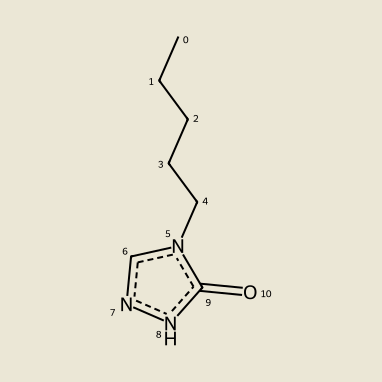 CCCCCn1cn[nH]c1=O